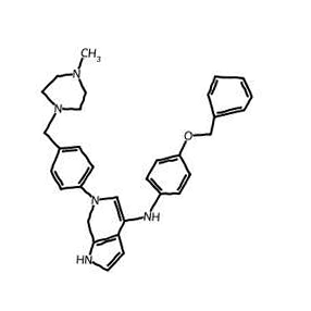 CN1CCN(Cc2ccc(N3C=C(Nc4ccc(OCc5ccccc5)cc4)c4cc[nH]c4C3)cc2)CC1